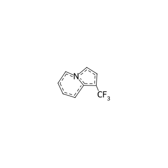 FC(F)(F)c1ccn2ccccc12